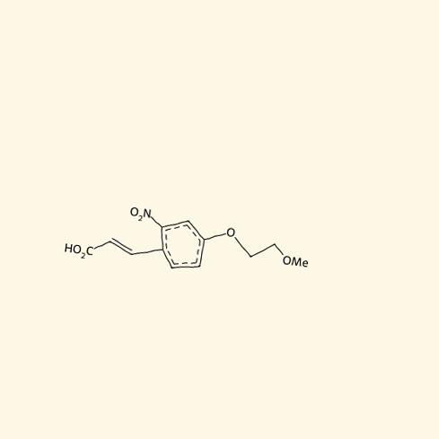 COCCOc1ccc(C=CC(=O)O)c([N+](=O)[O-])c1